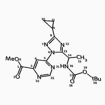 COC(=O)c1cc(-n2nc(C3CC3)nc2C(C)NC(=O)OC(C)(C)C)ncn1